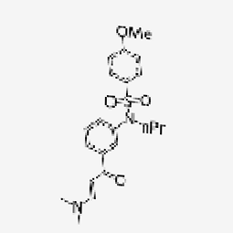 CCCN(c1cccc(C(=O)/C=C/N(C)C)c1)S(=O)(=O)c1ccc(OC)cc1